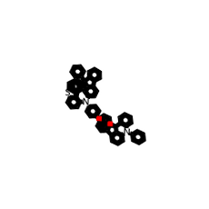 c1ccc(N2c3ccccc3C3(c4ccccc4)c4cc(-c5ccc(N(c6ccc7c(c6)C(c6ccccc6)(c6ccccc6)c6ccccc6-7)c6cccc7sc8ccccc8c67)cc5)ccc4-c4cccc2c43)cc1